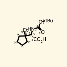 CCC1([C@H](NC(=O)OC(C)(C)C)C(=O)O)CCCC1